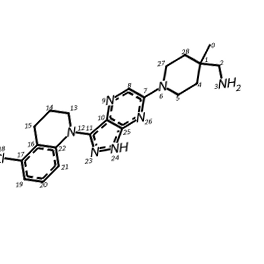 CC1(CN)CCN(c2cnc3c(N4CCCc5c(Cl)cccc54)n[nH]c3n2)CC1